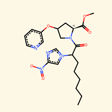 CCCCCCC(C(=O)N1CC(Oc2cccnc2)C[C@H]1C(=O)OC)n1cnc([N+](=O)[O-])c1